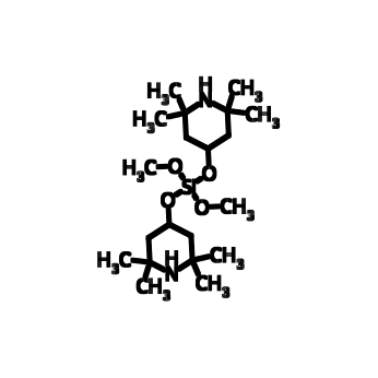 CO[Si](OC)(OC1CC(C)(C)NC(C)(C)C1)OC1CC(C)(C)NC(C)(C)C1